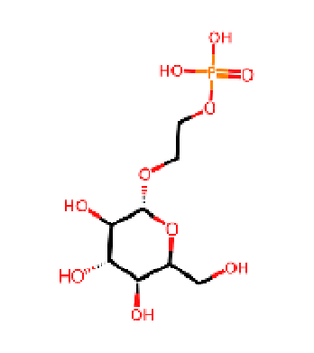 O=P(O)(O)OCCO[C@@H]1OC(CO)[C@@H](O)[C@H](O)C1O